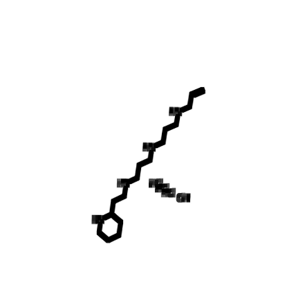 C=CCNCCCNCCCNCCC1CCCCN1.Cl.Cl.Cl.Cl